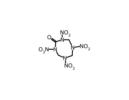 O=C1N([N+](=O)[O-])CN([N+](=O)[O-])CN([N+](=O)[O-])CN1[N+](=O)[O-]